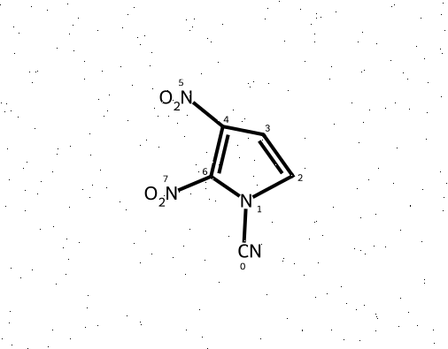 N#Cn1ccc([N+](=O)[O-])c1[N+](=O)[O-]